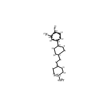 CCC[SiH]1CCC(CCC2CCC(c3ccc(F)c(F)c3)CC2)CC1